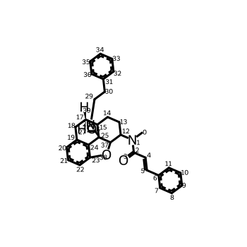 CN(C(=O)/C=C/c1ccccc1)C1CC[C@@]2(O)[C@H]3Cc4cccc5c4[C@@]2(CCN3CCc2ccccc2)C1O5